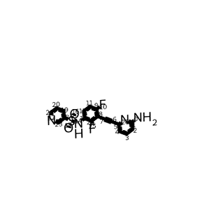 Nc1cccc(C#Cc2c(F)ccc(NS(=O)(=O)c3cccnc3)c2F)n1